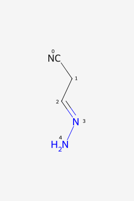 N#CCC=NN